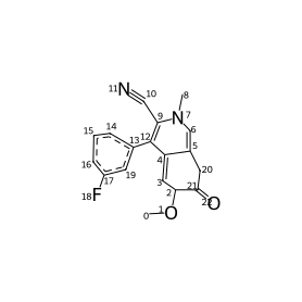 COC1C=C2C(=CN(C)C(C#N)=C2c2cccc(F)c2)CC1=O